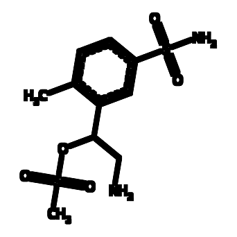 Cc1ccc(S(N)(=O)=O)cc1C(CN)OS(C)(=O)=O